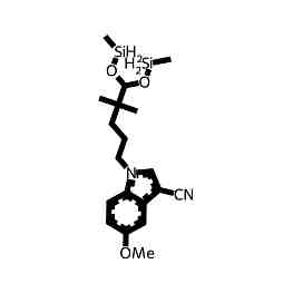 COc1ccc2c(c1)c(C#N)cn2CCCC(C)(C)C(O[SiH2]C)O[SiH2]C